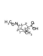 CO/N=C1/C2CC3CC1C(C)C(C(=O)O)(C3)C2